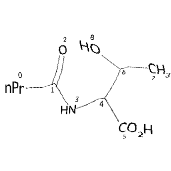 CCCC(=O)NC(C(=O)O)C(C)O